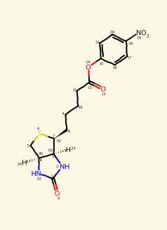 O=C1N[C@H]2[C@H](CS[C@H]2CCCCC(=O)Oc2ccc([N+](=O)[O-])cc2)N1